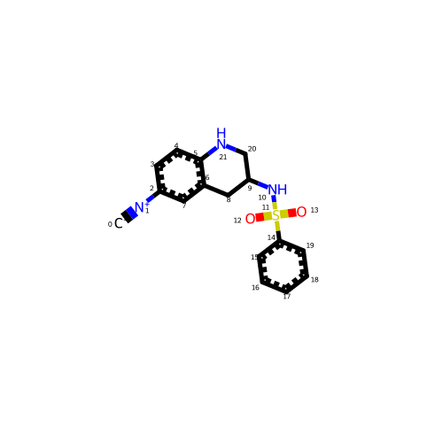 [C-]#[N+]c1ccc2c(c1)CC(NS(=O)(=O)c1ccccc1)CN2